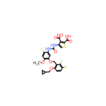 COc1cc(F)c(NC(=O)Nc2csc(C(=O)O)c2C(=O)O)cc1OCc1c(OCC2CC2)ccc(F)c1F